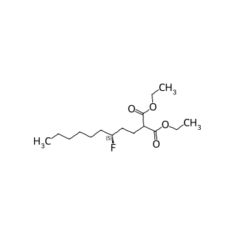 CCCCCC[C@H](F)CCC(C(=O)OCC)C(=O)OCC